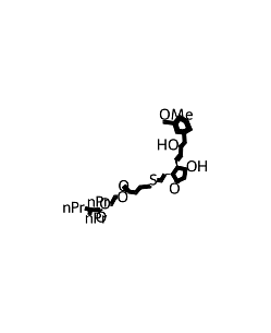 CCCC(CCC)(CCC)C(=O)OCCOC(=O)CCCSCC[C@H]1C(=O)C[C@@H](O)[C@@H]1/C=C/[C@@H](O)Cc1cccc(COC)c1